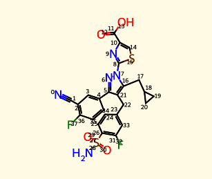 N#Cc1cc(-c2nn(-c3nc(C(=O)O)cs3)c(CC3CC3)c2Cc2ccc(S(N)(=O)=O)c(F)c2)ccc1F